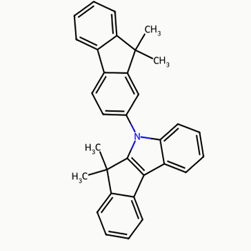 CC1(C)c2ccccc2-c2ccc(-n3c4c(c5ccccc53)-c3ccccc3C4(C)C)cc21